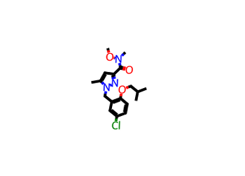 CON(C)C(=O)c1cc(C)n(Cc2cc(Cl)ccc2OCC(C)C)n1